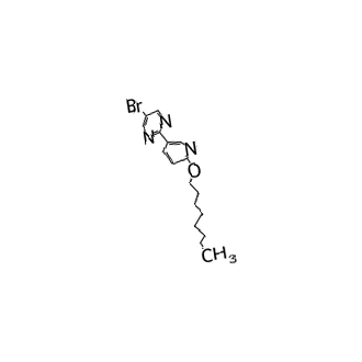 CCCCCCCCOc1ccc(-c2ncc(Br)cn2)cn1